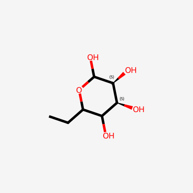 CCC1OC(O)[C@@H](O)[C@@H](O)C1O